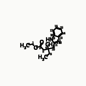 CCOC(=O)CC(C)(CC)Cc1nc2ccccc2[nH]1